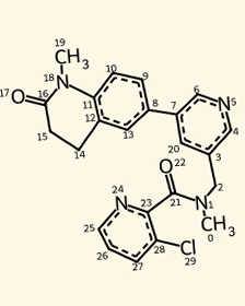 CN(Cc1cncc(-c2ccc3c(c2)CCC(=O)N3C)c1)C(=O)c1ncccc1Cl